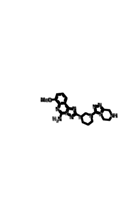 COc1cccc2c1nc(N)n1nc([C@@H]3CCCN(c4nnc5n4CCNC5)C3)nc21